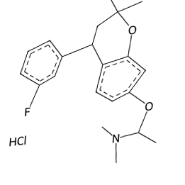 CC(Oc1ccc2c(c1)OC(C)(C)CC2c1cccc(F)c1)N(C)C.Cl